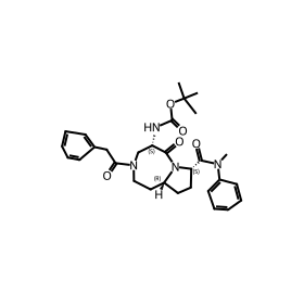 CN(C(=O)[C@@H]1CC[C@@H]2CCN(C(=O)Cc3ccccc3)C[C@H](NC(=O)OC(C)(C)C)C(=O)N21)c1ccccc1